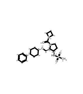 CS(=O)(=O)N[C@@H]1CCN(C(=O)N2CCC2)[C@@H]1CO[C@H]1CC[C@@H](c2ccccc2)CC1